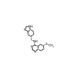 CSc1ccc2ncnc(NCc3ccc4[nH]cnc4c3)c2c1